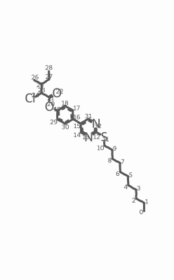 CCCCCCCCCCCSc1ncc(-c2ccc(OC(=O)C(Cl)C(C)CC)cc2)cn1